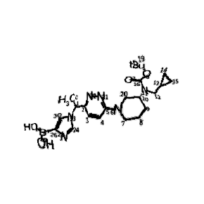 CC(c1ccc(N2CCC[C@@H](N(CC3CC3)C(=O)OC(C)(C)C)C2)nn1)n1cnc(B(O)O)c1